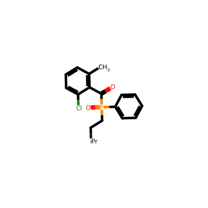 Cc1cccc(Cl)c1C(=O)P(=O)(CCC(C)C)c1ccccc1